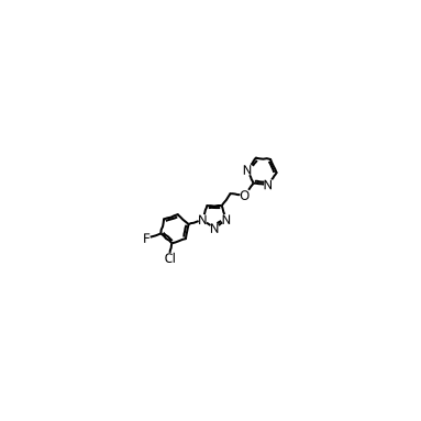 Fc1ccc(-n2cc(COc3ncccn3)nn2)cc1Cl